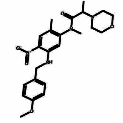 COc1ccc(CNc2cc(N(C)C(=O)C(C)N3CCOCC3)c(C)cc2[N+](=O)[O-])cc1